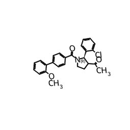 COc1ccccc1-c1ccc(C(=O)N2CCC(C(C)=O)[C@@H]2c2ccccc2Cl)cc1